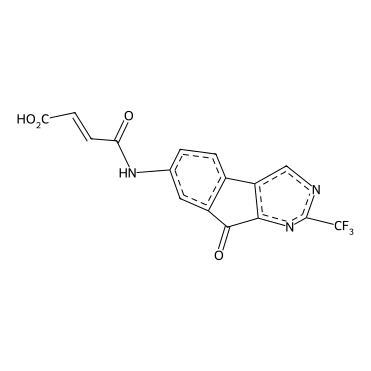 O=C(O)C=CC(=O)Nc1ccc2c(c1)C(=O)c1nc(C(F)(F)F)ncc1-2